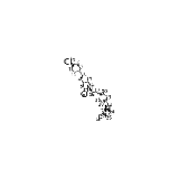 O=c1cc(C=Cc2ccc(Cl)cc2)ccn1CCc1ccc(CN2CC[C@H](F)C2)cc1